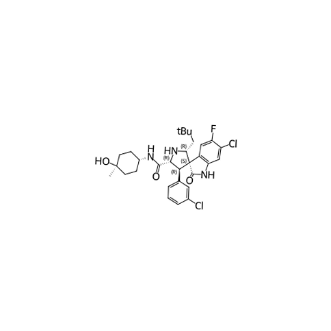 CC(C)(C)C[C@H]1N[C@@H](C(=O)N[C@H]2CC[C@](C)(O)CC2)[C@H](c2cccc(Cl)c2)[C@@]12C(=O)Nc1cc(Cl)c(F)cc12